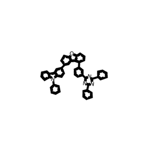 c1ccc(-c2nc(-c3ccccc3)nc(-c3cccc(-c4cccc5oc6ccc(-c7ccc8c(c7)c7ccccc7n8-c7ccccc7)cc6c45)c3)n2)cc1